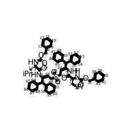 CC(C)C[C@H](NC(=O)OCc1ccccc1)C(=O)NC(=CCS(=O)(=O)CC=C(NC(=O)[C@H](CC(C)C)NC(=O)OCc1ccccc1)C(c1ccccc1)c1ccccc1)C(c1ccccc1)c1ccccc1